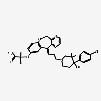 CC(C)(Oc1ccc2c(c1)/C(=C/CCN1CCC(O)(c3ccc(Cl)cc3)C(C)(C)C1)c1cccnc1CO2)C(N)=O